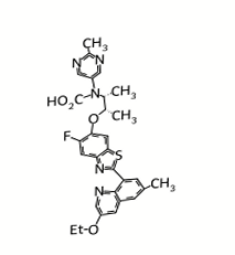 CCOc1cnc2c(-c3nc4cc(F)c(O[C@@H](C)[C@@H](C)N(C(=O)O)c5cnc(C)nc5)cc4s3)cc(C)cc2c1